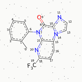 Cc1ccccc1-n1c(=O)c2nccn2c2ccc(C(F)(F)F)nc21